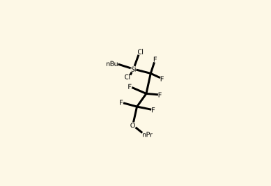 CCCC[Si](Cl)(Cl)C(F)(F)C(F)(F)C(F)(F)OCCC